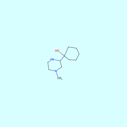 CN1CCNC(C2(O)CCCCC2)C1